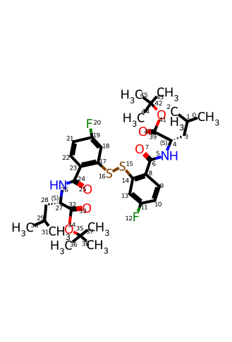 CC(C)C[C@H](NC(=O)c1ccc(F)cc1SSc1cc(F)ccc1C(=O)N[C@@H](CC(C)C)C(=O)OC(C)(C)C)C(=O)OC(C)(C)C